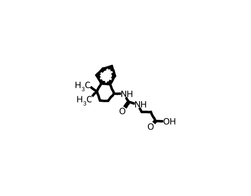 CC1(C)CCC(NC(=O)NCCC(=O)O)c2ccccc21